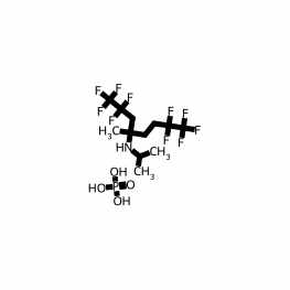 CC(C)NC(C)(CCC(F)(F)C(F)(F)F)CC(F)(F)C(F)(F)F.O=P(O)(O)O